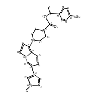 CC(OC(=O)N1CCN(c2cnn3cc(-c4cnn(C)c4)ccc23)CC1)c1ccc(C(C)(C)C)cc1